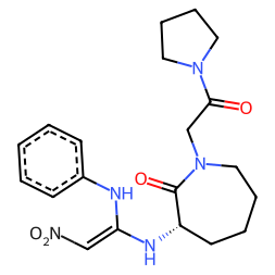 O=C(CN1CCCC[C@H](NC(=C[N+](=O)[O-])Nc2ccccc2)C1=O)N1CCCC1